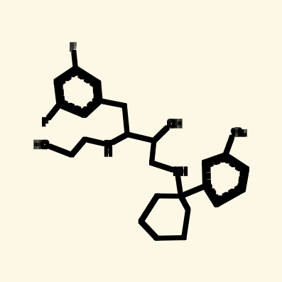 CC(C)(C)c1cccc(C2(NCC(O)C(Cc3cc(F)cc(F)c3)NCCO)CCCCC2)c1